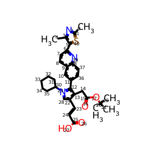 Cc1nc(C)c(-c2ccc3cc(-c4c(CC(=O)OC(C)(C)C)c(/C=C/C(=O)O)cn4C4CCCCC4)ccc3n2)s1